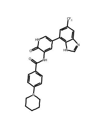 O=C(Nc1cc(-c2cc(C(F)(F)F)cc3nc[nH]c23)c[nH]c1=O)c1ccc(N2CCCCC2)cc1